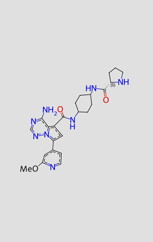 COc1cc(-c2cc(C(=O)NC3CCC(NC(=O)[C@@H]4CCCN4)CC3)c3c(N)ncnn23)ccn1